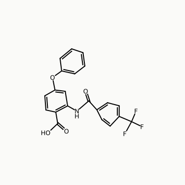 O=C(Nc1cc(Oc2ccccc2)ccc1C(=O)O)c1ccc(C(F)(F)F)cc1